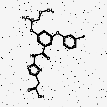 COC[C@H](C)Oc1cc(Oc2cccc(F)c2)cc(C(=O)Nc2nc(CC(=O)O)cs2)c1